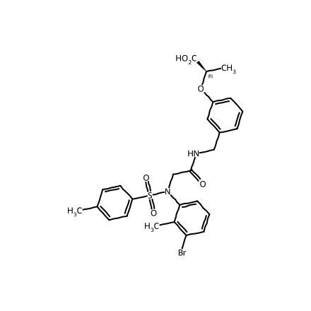 Cc1ccc(S(=O)(=O)N(CC(=O)NCc2cccc(O[C@H](C)C(=O)O)c2)c2cccc(Br)c2C)cc1